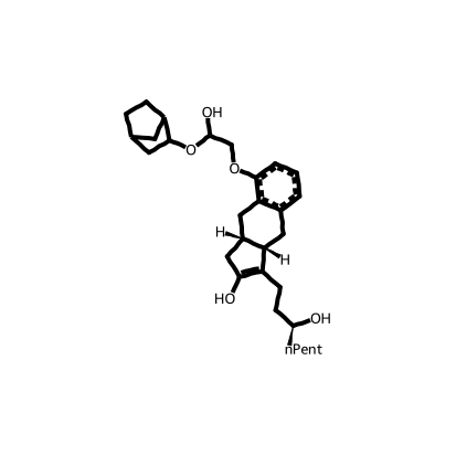 CCCCC[C@H](O)CCC1=C(O)C[C@@H]2Cc3c(cccc3OCC(O)OC3CC4CCC3C4)C[C@H]12